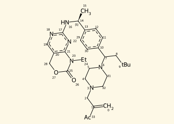 C=C(CN1CCN(C(CC(C)(C)C)c2ccc([C@H](C)Nc3ncc4c(n3)N(CC)C(=O)OC4)cc2)CC1)C(C)=O